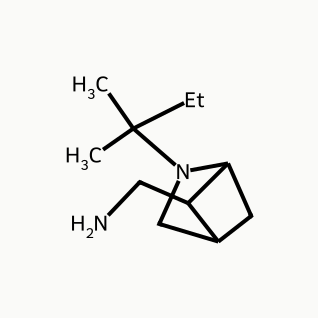 CCC(C)(C)N1CC2CC1C2CN